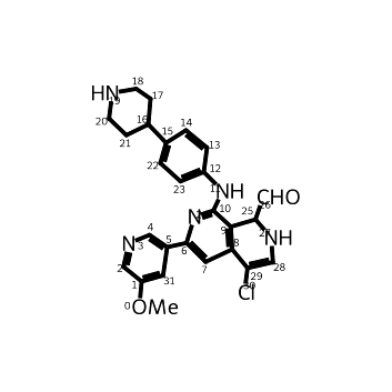 COc1cncc(-c2cc3c(c(Nc4ccc(C5CCNCC5)cc4)n2)C(C=O)NC=C3Cl)c1